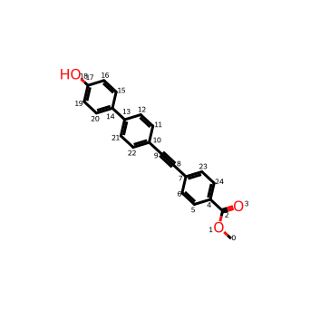 COC(=O)c1ccc(C#Cc2ccc(-c3ccc(O)cc3)cc2)cc1